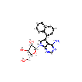 Nc1ncnc2c1c(-c1cccc3ccccc13)cn2[C@@H]1O[C@H](CO)C(O)[C@@H]1O